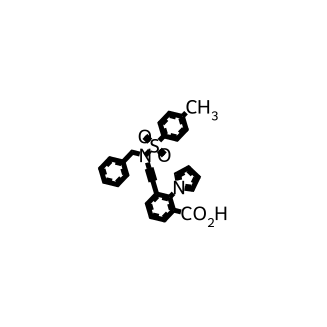 Cc1ccc(S(=O)(=O)N(C#Cc2cccc(C(=O)O)c2-n2cccc2)Cc2ccccc2)cc1